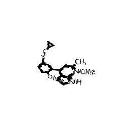 COc1ccc(SC2CC2)cc1-c1cc(C)[n+](OC)c2[nH]ccc12